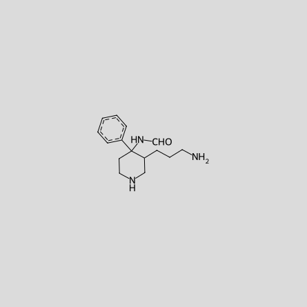 NCCCC1CNCCC1(NC=O)c1ccccc1